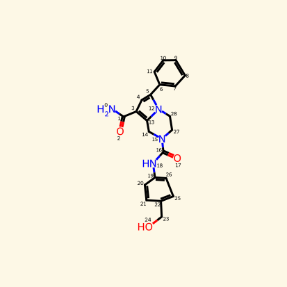 NC(=O)c1cc(-c2ccccc2)n2c1CN(C(=O)Nc1ccc(CO)cc1)CC2